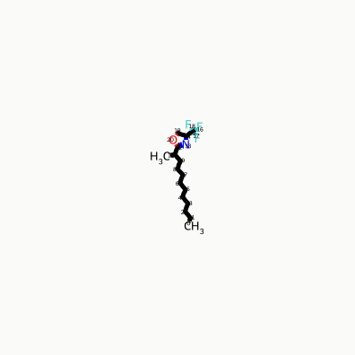 CCCCCCCCCCC(C)C1=NC(C(F)(F)F)CO1